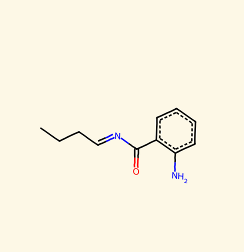 CCCC=NC(=O)c1ccccc1N